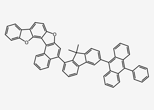 CC1(C)c2ccc(-c3c4ccccc4c(-c4ccccc4)c4ccccc34)cc2-c2cccc(-c3cc4oc5ccc6c7ccccc7oc6c5c4c4ccccc34)c21